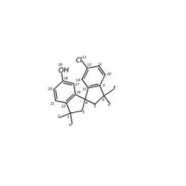 CC1(C)CC2(CC(C)(C)c3ccc(Cl)cc32)c2cc(O)ccc21